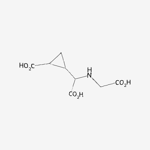 O=C(O)CNC(C(=O)O)C1CC1C(=O)O